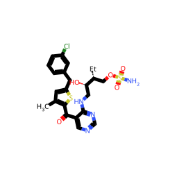 CC[C@H](COS(N)(=O)=O)[C@@H](O)CNc1ncncc1C(=O)c1sc(Cc2cccc(Cl)c2)cc1C